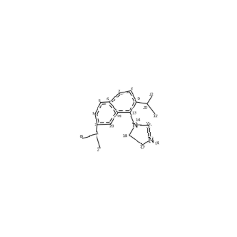 CC(C)c1ccc2ccc(C(C)C)c(N3[C]=NCC3)c2c1